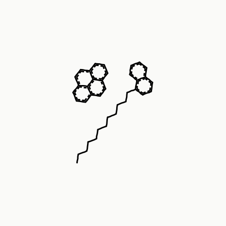 CCCCCCCCCCCCc1cccc2ccccc12.c1cc2ccc3cccc4ccc(c1)c2c34